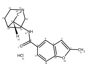 Cc1cc2cc(C(=O)N[C@H]3CN4CCC3CC4)ccc2o1.Cl